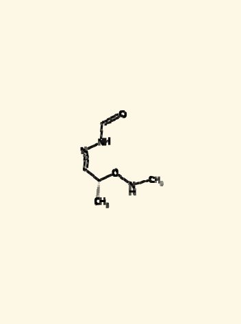 CNO[C@H](C)/C=N\NC=O